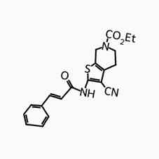 CCOC(=O)N1CCc2c(sc(NC(=O)C=Cc3ccccc3)c2C#N)C1